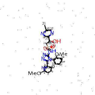 COc1cccc(-c2nnc(NS(=O)(=O)C[C@H](O)c3cnc(C)cn3)n2-c2c(OC)cccc2OC)n1